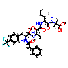 CC[C@H](C)[C@H](NC(=O)C(=O)C(C)NC(=O)[C@H](Cc1ccc(C(F)(F)F)cc1)NC(=O)Cc1ccccc1)C(=O)NC(C)(C)C(=O)O